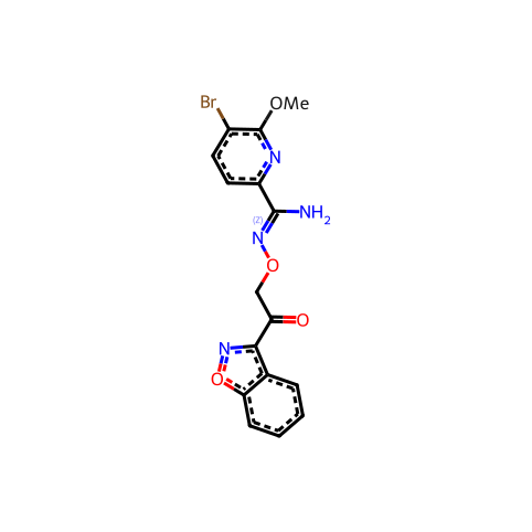 COc1nc(/C(N)=N/OCC(=O)c2noc3ccccc23)ccc1Br